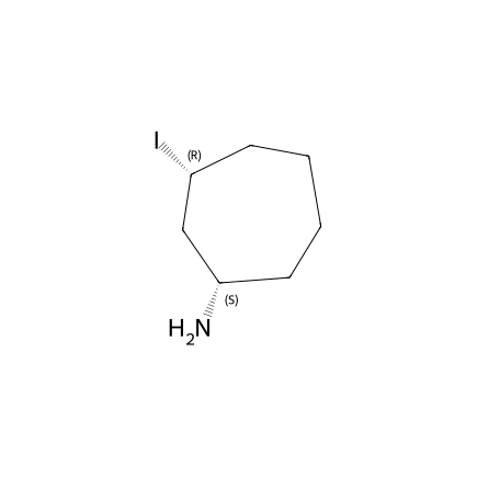 N[C@H]1CCCC[C@@H](I)C1